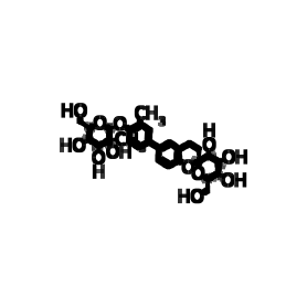 Cc1cc(-c2ccc3c(c2)CC[C@]2(O3)O[C@H](CO)[C@@H](O)[C@H](O)[C@@H]2O)ccc1O[C@H]1O[C@H](CO)[C@@H](O)[C@H](O)[C@]1(C)O